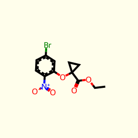 CCOC(=O)C1(Oc2cc(Br)ccc2[N+](=O)[O-])CC1